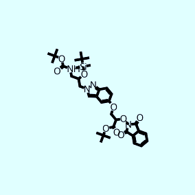 CC(C)(C)OC(=O)NCC(Cn1cc2cc(OCC(ON3C(=O)c4ccccc4C3=O)C(=O)OC(C)(C)C)ccc2n1)O[Si](C)(C)C(C)(C)C